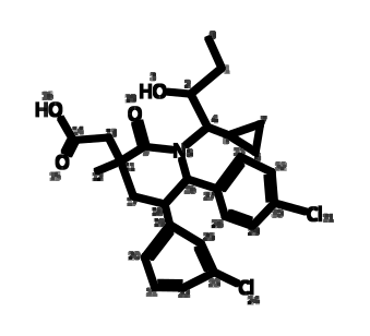 CCC(O)C(C1CC1)N1C(=O)C(C)(CC(=O)O)CC(c2cccc(Cl)c2)C1c1ccc(Cl)cc1